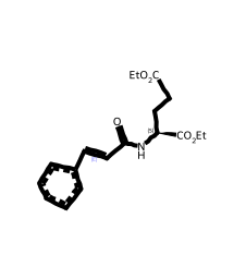 CCOC(=O)CC[C@H](NC(=O)/C=C/c1ccccc1)C(=O)OCC